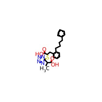 CCC(C(=O)O)C1(SC(Cc2ccccc2CCCCc2ccccc2)C(=O)O)N=NN=N1